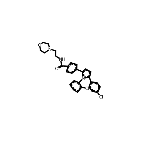 O=C(NCCN1CCOCC1)c1ccc(-c2ccc(-c3ccc(Cl)cc3)n2-c2ccccc2C(F)(F)F)cc1